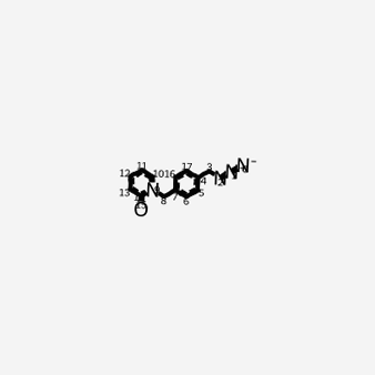 [N-]=[N+]=NCc1ccc(Cn2ccccc2=O)cc1